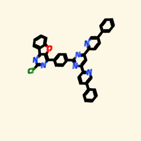 Clc1nc(-c2ccc(-c3nc(-c4ccc(-c5ccccc5)cn4)cc(-c4ccc(-c5ccccc5)cn4)n3)cc2)c2oc3ccccc3c2n1